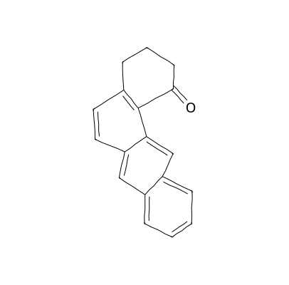 O=C1CCCc2ccc3cc4ccccc4cc3c21